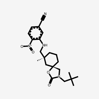 CC(C)(C)CN1C[C@@]2(CCC[C@](C)(CNc3cc(C#N)ccc3[N+](=O)[O-])C2)OC1=O